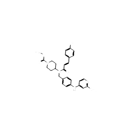 Cc1cc(Nc2ccc(CN(C(=O)/C=C/c3ccc(C(F)(F)F)cc3)C3CCN(C(=O)OC(C)(C)C)CC3)cc2)ccn1